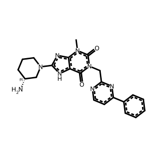 Cn1c(=O)n(Cc2nccc(-c3ccccc3)n2)c(=O)c2[nH]c(N3CCC[C@@H](N)C3)nc21